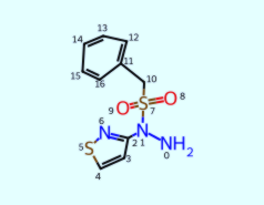 NN(c1ccsn1)S(=O)(=O)Cc1ccccc1